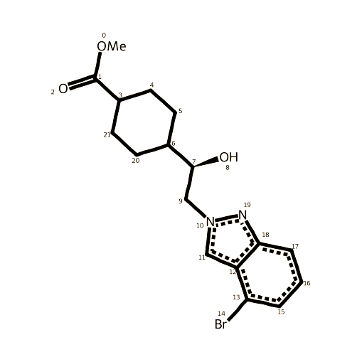 COC(=O)C1CCC([C@@H](O)Cn2cc3c(Br)cccc3n2)CC1